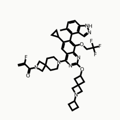 C=C(F)C(=O)N1CC2(CCN(c3nc(OC4CC5(C4)CN(C4CCC4)C5)nc4c(OCC(F)(F)F)c(-c5c(C)ccc6[nH]ncc56)c(C5CC5)cc34)CC2)C1